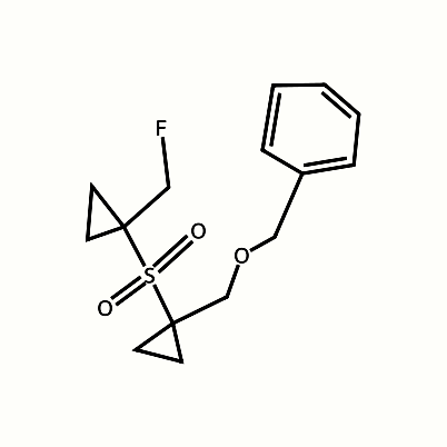 O=S(=O)(C1(CF)CC1)C1(COCc2ccccc2)CC1